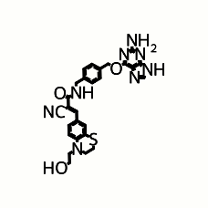 N#C/C(=C\c1ccc2c(c1)SCCN2CCO)C(=O)NCc1ccc(COc2nc(N)nc3[nH]cnc23)cc1